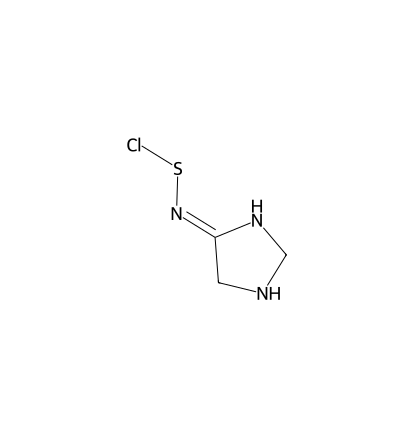 ClSN=C1CNCN1